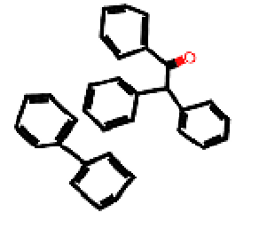 O=C(c1ccccc1)C(c1ccccc1)c1ccccc1.c1ccc(-c2ccccc2)cc1